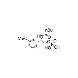 CCCCC(=O)NC(COP(=O)(O)O)c1cccc(OC)c1